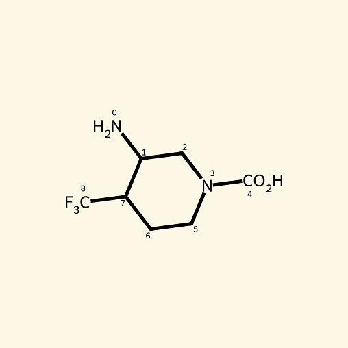 NC1CN(C(=O)O)CCC1C(F)(F)F